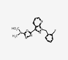 CN(C(=O)O)c1nnc(-c2nn(Cc3ccccc3F)c3ncccc23)o1